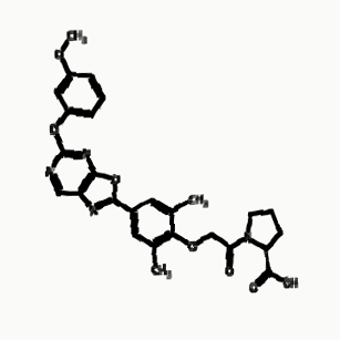 COc1cccc(Oc2ncc3nc(-c4cc(C)c(OCC(=O)N5CCC[C@H]5C(=O)O)c(C)c4)oc3n2)c1